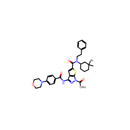 COC(=O)n1nc(NC(=O)c2ccc(N3CCOCC3)cc2)c2cc(C(=O)N(CCc3ccccc3)C3CCCC(C)(C(C)C)C3)sc21